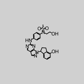 CS(=O)(=O)N(CCO)c1ccc(Nc2ncc3cnn(C4CCc5c(O)cccc54)c3n2)cc1